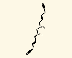 N#CSC=CC[SiH2]O[SiH2]CC=CSC#N